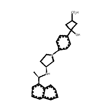 C[C@@H](N[C@H]1CCN(c2ccc(C3(O)CC(C(=O)O)C3)cc2)C1)c1cccc2ccccc12